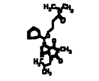 CC(C)Cn1c(=O)n(C)c(=O)c2c1ncn2C(OCCCC(=O)N(C)C)c1ccccc1